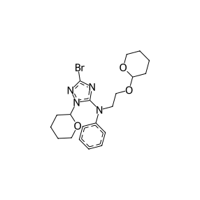 Brc1nc(N(CCOC2CCCCO2)c2ccccc2)n(C2CCCCO2)n1